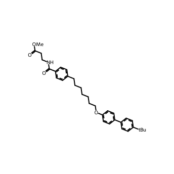 COC(=O)CCNC(=O)c1ccc(CCCCCCCOc2ccc(-c3ccc(C(C)(C)C)cc3)cc2)cc1